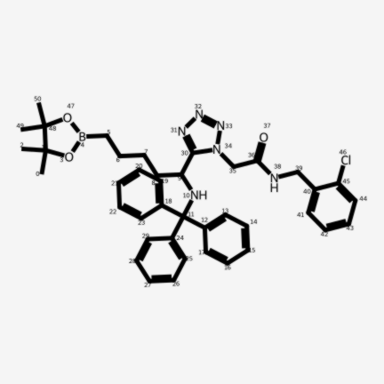 CC1(C)OB(CCCCC(NC(c2ccccc2)(c2ccccc2)c2ccccc2)c2nnnn2CC(=O)NCc2ccccc2Cl)OC1(C)C